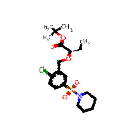 CC[C@@H](OCc1cc(S(=O)(=O)N2CCCCC2)ccc1Cl)C(=O)OC(C)(C)C